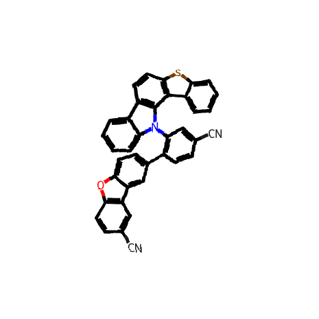 N#Cc1ccc(-c2ccc3oc4ccc(C#N)cc4c3c2)c(-n2c3ccccc3c3ccc4sc5ccccc5c4c32)c1